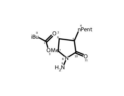 CCC(C)C(=O)OC.CCCCCC1CCN(N)C1=O